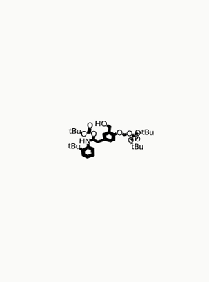 CC(C)(C)OC(=O)OC(Cc1ccc(OCOP(=O)(OC(C)(C)C)OC(C)(C)C)c(CO)c1)Nc1ccccc1C(C)(C)C